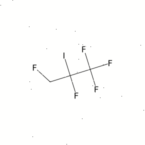 FCC(F)(I)C(F)(F)F